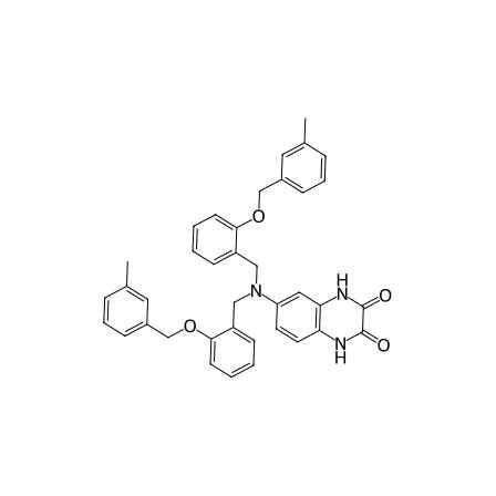 Cc1cccc(COc2ccccc2CN(Cc2ccccc2OCc2cccc(C)c2)c2ccc3[nH]c(=O)c(=O)[nH]c3c2)c1